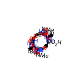 CN[C@@H](C)C(=O)N[C@H](C(=O)N1C[C@@H]2C[C@H]1C(=O)N[C@@H](Cc1ccc3ccccc3c1)C(=O)N[C@H](C(=O)O)Cc1ccc(cc1)OCc1cn(nn1)[C@H]1C[C@@H](C(=O)N[C@@H](Cc3ccc4ccccc4c3)C(=O)N[C@H](C(=O)NS(C)(=O)=O)Cc3ccc(cc3)OCCCCO2)N(C(=O)[C@@H](NC(=O)[C@H](C)NC)C(C)(C)C)C1)C(C)(C)C